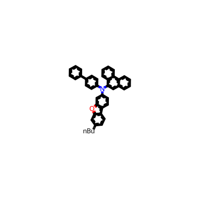 CCCCc1ccc2c(c1)oc1cc(N(c3ccc(-c4ccccc4)cc3)c3cc4ccccc4c4ccccc34)ccc12